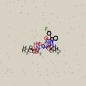 CC(C)(C)OC(=O)NC[C@H]1CN(C(=O)OC(C)(C)C)[C@H](CNC(=O)c2[nH]c3ccccc3c2-c2ccc(F)cc2)[C@H]1O